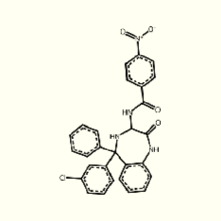 O=C(NC1NC(c2ccccc2)(c2cccc(Cl)c2)c2ccccc2NC1=O)c1ccc([N+](=O)[O-])cc1